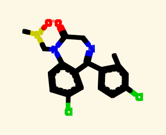 Cc1cc(Cl)ccc1C1=NCC(=O)N(C[S+](C)[O-])c2ccc(Cl)cc21